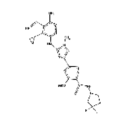 COc1cc(-c2nc(Nc3ccc(N)c(C=N)c3C3CC3)n(C)n2)ccc1C(=O)NC1CCC(F)(F)C1